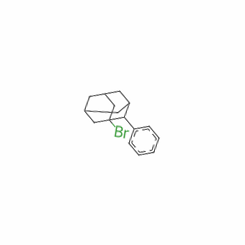 BrC12CC3CC(CC(C3)C1c1ccccc1)C2